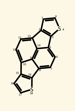 c1cc2c(s1)-c1ccc3c4c(ccc-2c14)-c1ccsc1-3